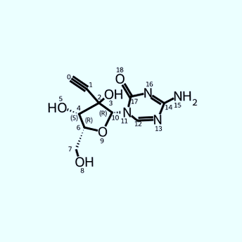 C#CC1(O)[C@@H](O)[C@@H](CO)O[C@H]1n1cnc(N)nc1=O